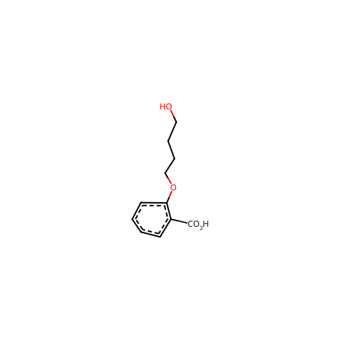 O=C(O)c1ccccc1OCCCCO